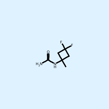 CC1(NC(N)=O)CC(F)(F)C1